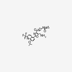 CC(C)Oc1ccc(-c2nc(C(=O)N3CC(NC(=O)C4CC4)C3)c(CN)o2)c2ccc(C(F)(F)F)nc12